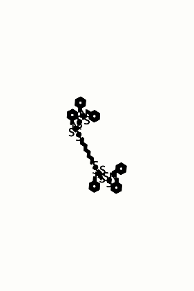 S=C(SSN(Cc1ccccc1)C(=S)SSCCCCCCCCSSC(=S)N(Cc1ccccc1)SSC(=S)N(Cc1ccccc1)Cc1ccccc1)N(Cc1ccccc1)Cc1ccccc1